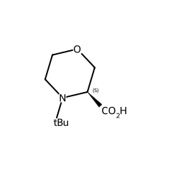 CC(C)(C)N1CCOC[C@H]1C(=O)O